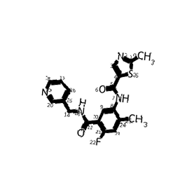 Cc1ncc(C(=O)Nc2cc(C(=O)NCc3cccnc3)c(F)cc2C)s1